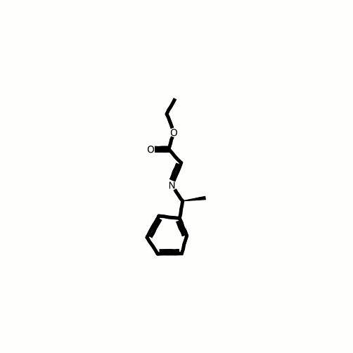 CCOC(=O)/C=N/[C@@H](C)c1ccccc1